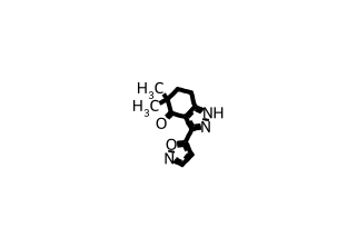 CC1(C)CCc2[nH]nc(-c3ccno3)c2C1=O